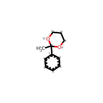 CC1(c2ccccc2)OCCCO1